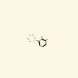 FC(F)(F)c1cccc(B2OBOBO2)c1C(F)(F)F